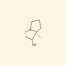 CC(O)[C@]1(C)CCCN1C